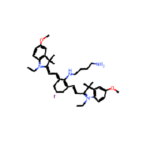 CCN1/C(=C/C=C2\CCCC(/C=C/C3=[N+](CC)c4ccc(OC)cc4C3(C)C)=C2NCCCCN)C(C)(C)c2cc(OC)ccc21.[I-]